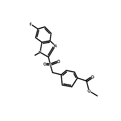 COC(=O)c1ccc(CS(=O)(=O)c2nc3ccc(F)cc3n2C)cc1